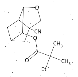 CCC(C)(C)C(=O)OC1C2CC3C1OCC3(C#N)C2